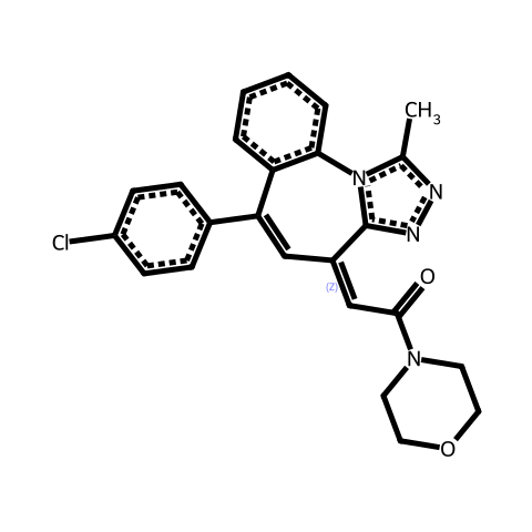 Cc1nnc2n1-c1ccccc1C(c1ccc(Cl)cc1)=C/C2=C/C(=O)N1CCOCC1